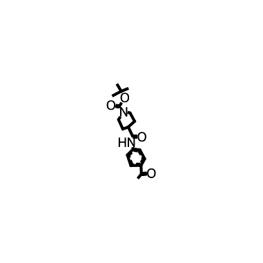 CC(=O)c1ccc(NC(=O)C2CCN(C(=O)OC(C)(C)C)CC2)cc1